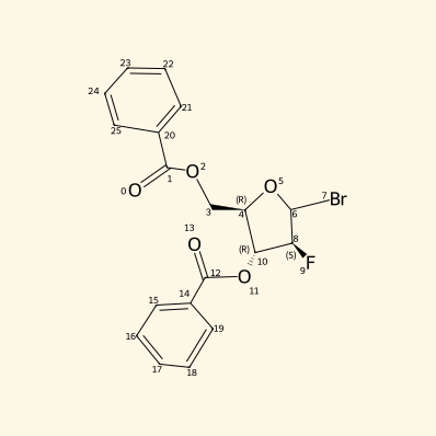 O=C(OC[C@H]1OC(Br)[C@@H](F)[C@@H]1OC(=O)c1ccccc1)c1ccccc1